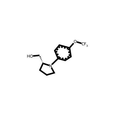 OC[C@H]1CCCN1c1ccc(OC(F)(F)F)cc1